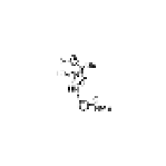 CNC(=O)c1cccc(CCNC(=O)[C@@H]2C[C@@H](O)CN2C(=O)[C@@H](n2cc(C3CC3)nn2)C(C)(C)C)c1